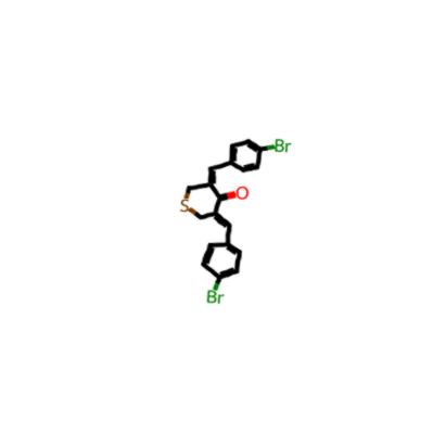 O=C1C(=Cc2ccc(Br)cc2)CSCC1=Cc1ccc(Br)cc1